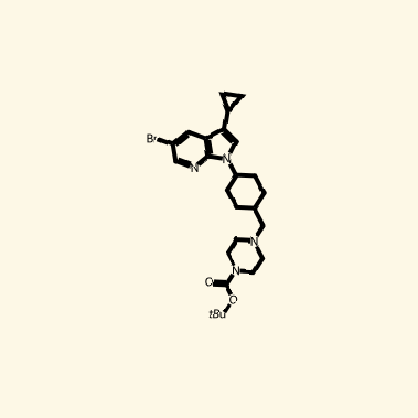 CC(C)(C)OC(=O)N1CCN(CC2CCC(n3cc(C4CC4)c4cc(Br)cnc43)CC2)CC1